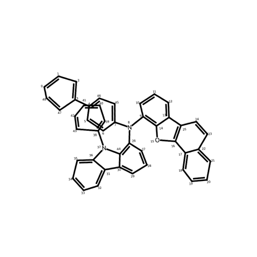 c1ccc(-c2ccc(N(c3cccc4c3oc3c5ccccc5ccc43)c3cccc4c5ccccc5n(-c5ccccc5)c34)cc2)cc1